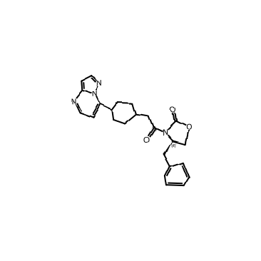 O=C(CC1CCC(c2ccnc3ccnn23)CC1)N1C(=O)OC[C@H]1Cc1ccccc1